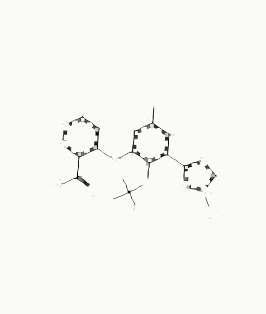 [2H]C([2H])([2H])Oc1c(Nc2ccnnc2C(=O)NC)cc(C)cc1-c1ncn(C)n1